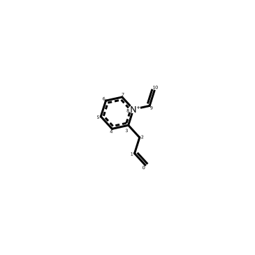 C=CCc1cccc[n+]1C=C